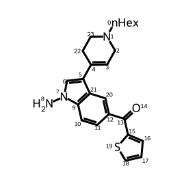 CCCCCCN1CC=C(c2cn(N)c3ccc(C(=O)c4cccs4)cc23)CC1